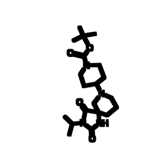 CC(C)N1C(=O)NC2(CCCN(C3CCN(C(=O)OC(C)(C)C)CC3)C2)C1=O